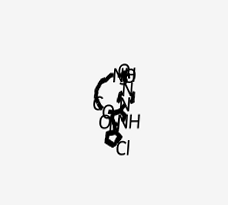 O=C1C2=C(CNN1c1cccc(Cl)c1)N1CCN(CC1)S(=O)(=O)NC/C=C/CCCCO2